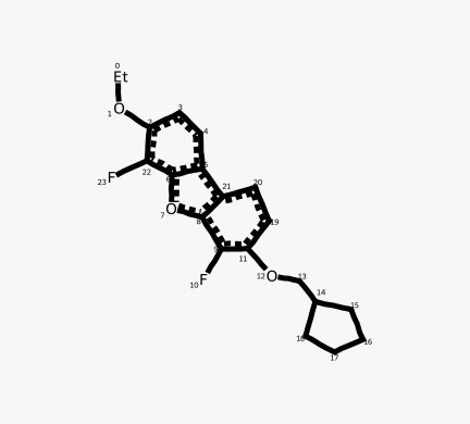 CCOc1ccc2c(oc3c(F)c(OCC4CCCC4)ccc32)c1F